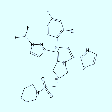 O=S(=O)(C[C@@H]1CC2=C(c3ccn(C(F)F)n3)[C@H](c3ccc(F)cc3Cl)N=C(c3nccs3)N2C1)N1CCCCC1